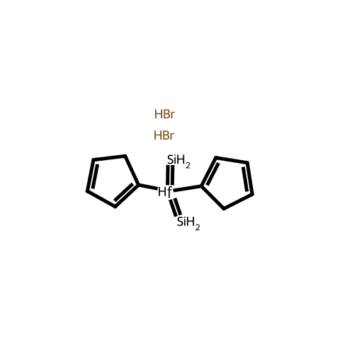 Br.Br.[SiH2]=[Hf](=[SiH2])([C]1=CC=CC1)[C]1=CC=CC1